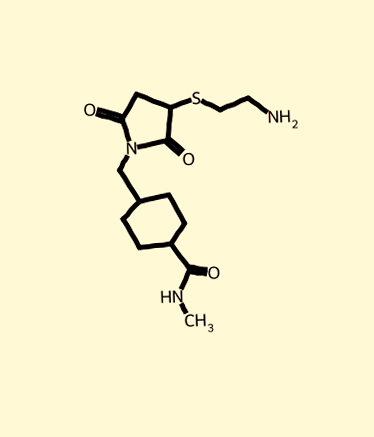 CNC(=O)C1CCC(CN2C(=O)CC(SCCN)C2=O)CC1